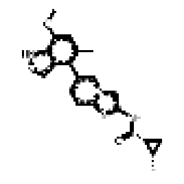 COc1cc(C)c(-c2ccc3nc(NC(=O)[C@@H]4C[C@@H]4F)cn3c2)c2cn[nH]c12